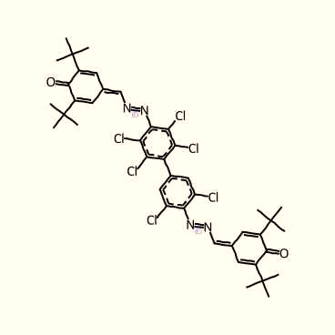 CC(C)(C)C1=CC(=C/N=N/c2c(Cl)cc(-c3c(Cl)c(Cl)c(/N=N/C=C4C=C(C(C)(C)C)C(=O)C(C(C)(C)C)=C4)c(Cl)c3Cl)cc2Cl)C=C(C(C)(C)C)C1=O